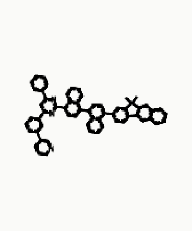 CC1(C)c2cc(-c3ccc(-c4ccc(-c5nc(-c6ccccc6)cc(-c6cccc(-c7cccnc7)c6)n5)c5ccccc45)c4ccccc34)ccc2-c2cc3ccccc3cc21